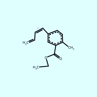 C=C/C=C\c1ccc(C)c(C(=O)OCC)c1